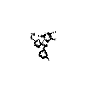 Nc1nc(=O)n([C@@]2(C(=O)c3cccc(Br)c3)C=C[C@@H](CO)O2)cc1F